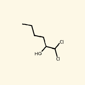 CCCCC(O)C(Cl)Cl